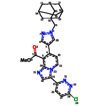 COC(=O)c1c(-c2cnn(CC34CC5CC(CC(C5)C3)C4)c2)ccn2c(-c3ccc(Cl)nn3)cnc12